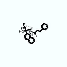 O=C(CCc1ccccc1)Nc1c(C(O)(C(F)(F)F)C(F)(F)F)ccc2ccccc12